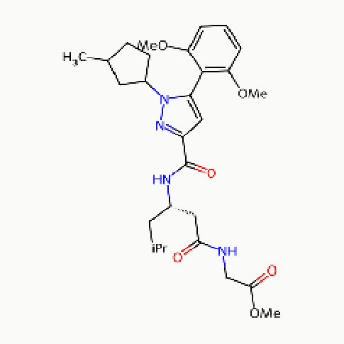 COC(=O)CNC(=O)C[C@H](CC(C)C)NC(=O)c1cc(-c2c(OC)cccc2OC)n(C2CCC(C)C2)n1